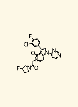 O=C(Cn1ccc2c(c(-c3ccc(F)c(Cl)c3)cn2-c2ccncn2)c1=O)N1CCC(F)C1